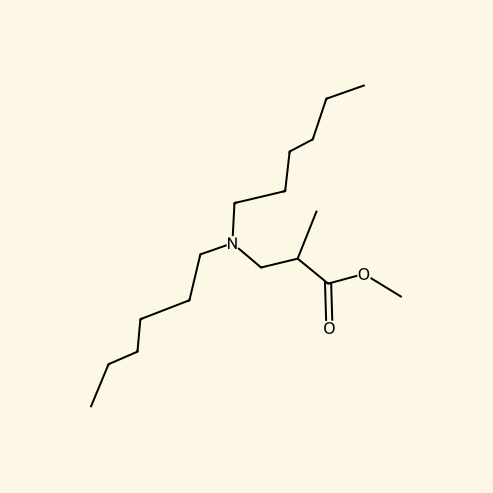 CCCCCCN(CCCCCC)CC(C)C(=O)OC